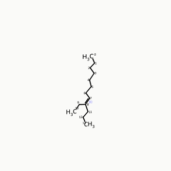 CCCCCCC/C=C(\CC)CCC